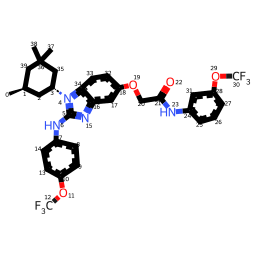 C[C@@H]1C[C@@H](n2c(Nc3ccc(OC(F)(F)F)cc3)nc3cc(OCC(=O)Nc4cccc(OC(F)(F)F)c4)ccc32)CC(C)(C)C1